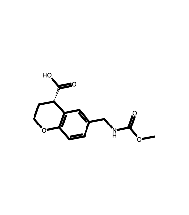 COC(=O)NCc1ccc2c(c1)[C@@H](C(=O)O)CCO2